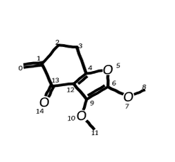 C=C1CCc2oc(OC)c(OC)c2C1=O